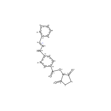 O=C(ON1C(=O)CCC1=O)c1ccc(N/N=C/c2ccccn2)nc1